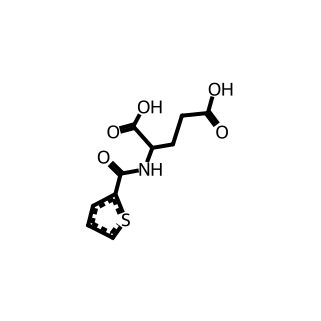 O=C(O)CCC(NC(=O)c1cccs1)C(=O)O